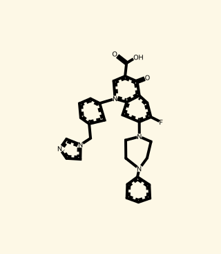 O=C(O)c1cn(-c2cccc(Cn3ccnc3)c2)c2cc(N3CCN(c4ccccc4)CC3)c(F)cc2c1=O